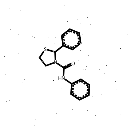 O=C(Nc1ccccc1)N1CCSC1c1ccccc1